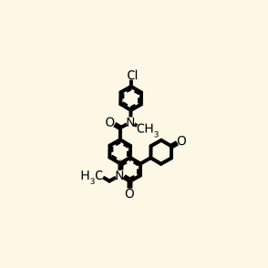 CCn1c(=O)cc(C2CCC(=O)CC2)c2cc(C(=O)N(C)c3ccc(Cl)cc3)ccc21